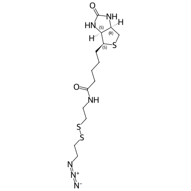 [N-]=[N+]=NCCSSCCNC(=O)CCCC[C@@H]1SC[C@@H]2NC(=O)N[C@@H]21